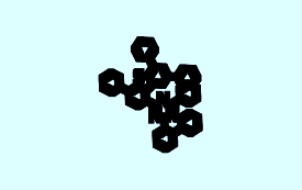 c1ccc(-c2cc(-c3ccccc3)c3sc4c(-c5ccccc5)ccc(-c5nc(-c6ccccc6)nc(-c6ccccc6-c6ccccc6)n5)c4c3c2)cc1